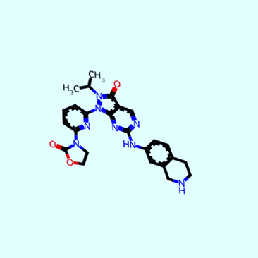 CC(C)n1c(=O)c2cnc(Nc3ccc4c(c3)CNCC4)nc2n1-c1cccc(N2CCOC2=O)n1